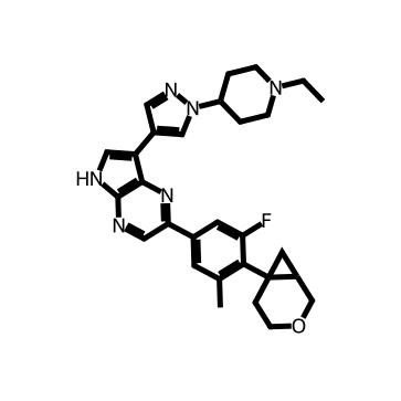 CCN1CCC(n2cc(-c3c[nH]c4ncc(-c5cc(C)c(C67CCOCC6C7)c(F)c5)nc34)cn2)CC1